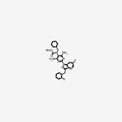 COC(=O)N(Cc1ccccc1)c1c(N)nc(-n2nc(Cc3ccccc3F)c3ncc(F)cc32)nc1N